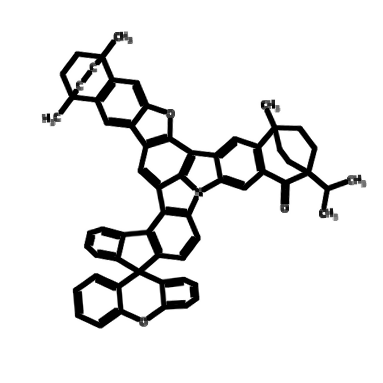 CC(C)C12CCC(C)(CC1)c1cc3c4c5oc6cc7c(cc6c5cc5c6c8c(ccc6n(c3cc1C2=O)c54)C1(c2ccccc2Oc2ccccc21)c1ccccc1-8)C1(C)CCC7(C)CC1